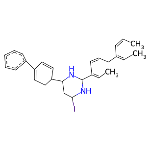 C/C=C\C(=C/C)C/C=C\C(=C/C)C1NC(I)CC(C2C=CC(c3ccccc3)=CC2)N1